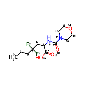 CCCC(F)(F)CC(NC(=O)N1CCOCC1)C(=O)O